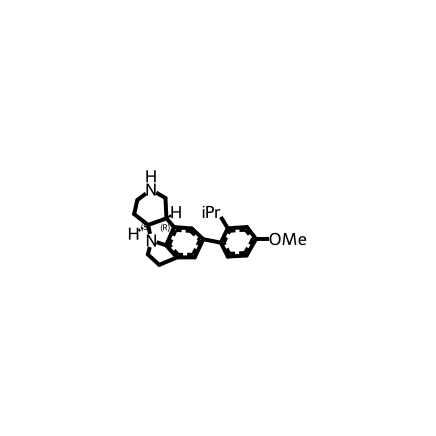 COc1ccc(-c2cc3c4c(c2)[C@@H]2CNCC[C@@H]2N4CC3)c(C(C)C)c1